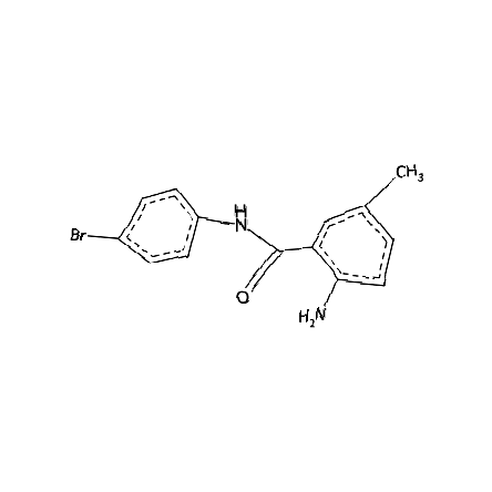 Cc1ccc(N)c(C(=O)Nc2ccc(Br)cc2)c1